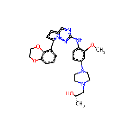 COc1cc(N2CCN(C[C@H](C)O)CC2)ccc1Nc1ncc2ccc(-c3cccc4c3OCCO4)n2n1